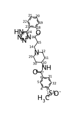 C[S+]([O-])c1ccc(C(=O)NC2CCN(CCCOc3ccccc3-c3nnn[nH]3)CC2)cc1